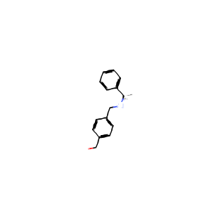 C[C@@H](NCc1ccc(CO)cc1)c1ccccc1